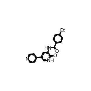 CCc1ccc(C(=O)Nc2cc(-c3ccncc3)c[nH]c2=O)cc1